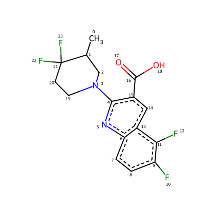 CC1CN(c2nc3ccc(F)c(F)c3cc2C(=O)O)CCC1(F)F